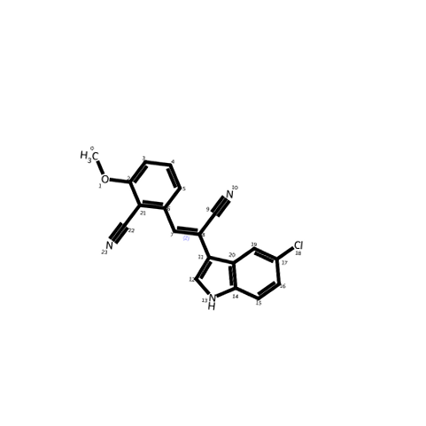 COc1cccc(/C=C(\C#N)c2c[nH]c3ccc(Cl)cc23)c1C#N